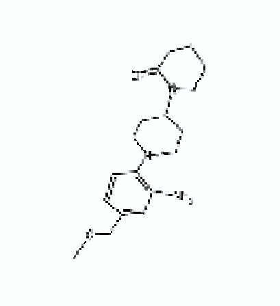 COCc1ccc(N2CCC(N3CCCCC3=O)CC2)c(N)c1